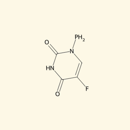 O=c1[nH]c(=O)n(P)cc1F